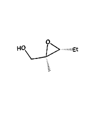 CC[C@H]1O[C@]1(C)CO